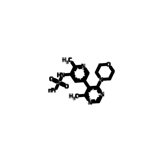 CCCS(=O)(=O)Nc1cc(-c2c(C)ncnc2N2CCOCC2)cnc1C